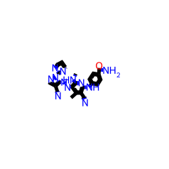 CNc1nc(Nc2ccc(C(N)=O)cc2)c(C#N)c(C)c1/N=N/c1c(C#N)cnn1-c1ncccn1